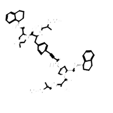 CNC(C)C(=O)NC(Cc1ccc(C#CC(=O)N[C@H]2C[C@@H](C(=O)N[C@@H]3CCCc4ccccc43)N(C(=O)C(NC(=O)C(C)NC)C(C)(C)C)C2)cc1)C(=O)N1C[Si](C)(C)CC1C(=O)N[C@@H]1CCCc2ccccc21